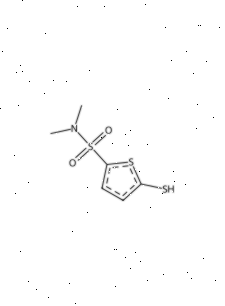 CN(C)S(=O)(=O)c1ccc(S)s1